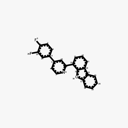 Fc1ccc(-c2ccnc(-c3cccc4c3oc3ccccc34)c2)cc1F